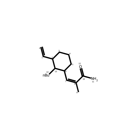 C=CC1CCCC(C=C(C)C(N)=O)C1CCCC